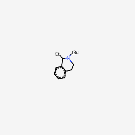 CCC1c2ccccc2CCN1C(C)(C)C